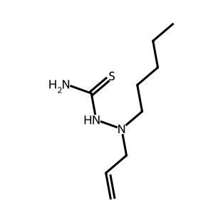 C=CCN(CCCCC)NC(N)=S